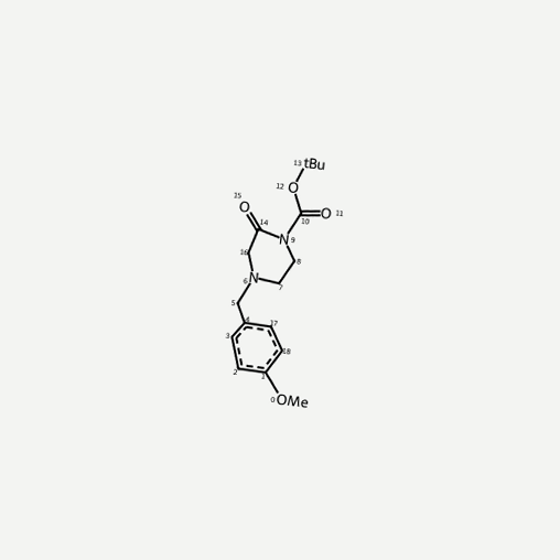 COc1ccc(CN2CCN(C(=O)OC(C)(C)C)C(=O)C2)cc1